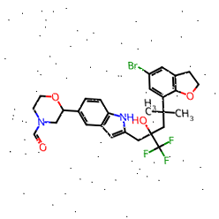 CC(C)(CC(O)(Cc1cc2cc(C3CN(C=O)CCO3)ccc2[nH]1)C(F)(F)F)c1cc(Br)cc2c1OCC2